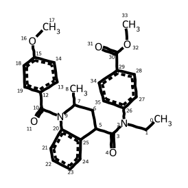 CCN(C(=O)C1CC(C)N(C(=O)c2ccc(OC)cc2)c2ccccc21)c1ccc(C(=O)OC)cc1